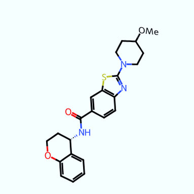 COC1CCN(c2nc3ccc(C(=O)N[C@H]4CCOc5ccccc54)cc3s2)CC1